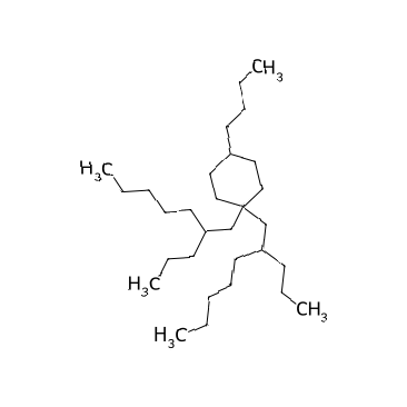 CCCCCC(CCC)CC1(CC(CCC)CCCCC)CCC(CCCC)CC1